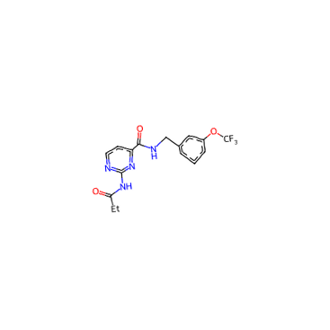 CCC(=O)Nc1nccc(C(=O)NCc2cccc(OC(F)(F)F)c2)n1